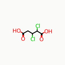 O=C(O)CC(Cl)C(Cl)C(=O)O